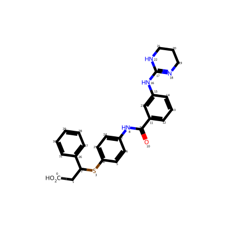 O=C(O)CC(Sc1ccc(NC(=O)c2cccc(NC3=NCCCN3)c2)cc1)c1ccccc1